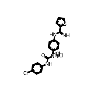 Cl.Cl.N=C(Nc1ccc(NC(=O)Nc2ccc(Cl)cc2)cc1)c1cccs1